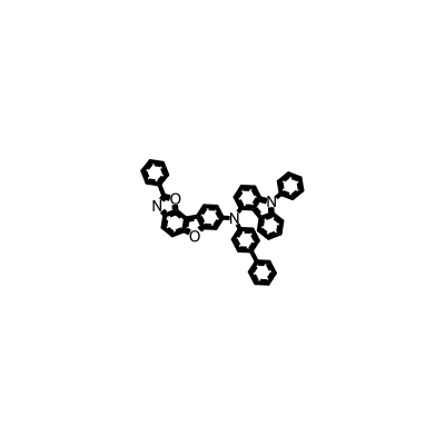 c1ccc(-c2ccc(N(c3ccc4c(c3)oc3ccc5nc(-c6ccccc6)oc5c34)c3cccc4c3c3ccccc3n4-c3ccccc3)cc2)cc1